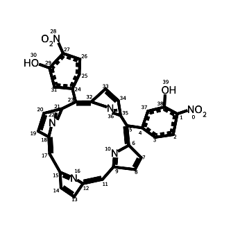 O=[N+]([O-])c1ccc(C2=C3C=CC(=N3)C=C3C=CC(=N3)C=C3C=CC(=N3)C(c3ccc([N+](=O)[O-])c(O)c3)=C3C=CC2=N3)cc1O